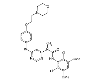 COc1cc(OC)c(Cl)c(NC(=O)N(C)c2cc(Nc3ccc(OCCN4CCOCC4)cc3)ncn2)c1Cl